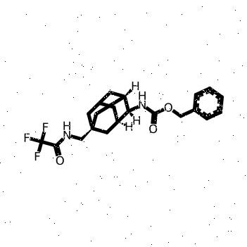 O=C(N[C@@H]1[C@@H]2CC3C[C@H]1C[C@@](CNC(=O)C(F)(F)F)(C3)C2)OCc1ccccc1